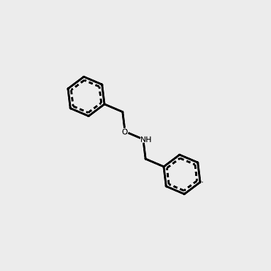 [c]1ccc(CNOCc2ccccc2)cc1